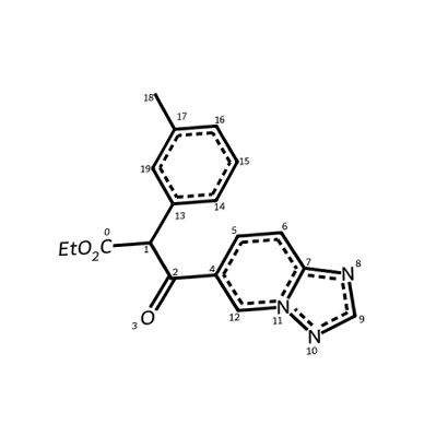 CCOC(=O)C(C(=O)c1ccc2ncnn2c1)c1cccc(C)c1